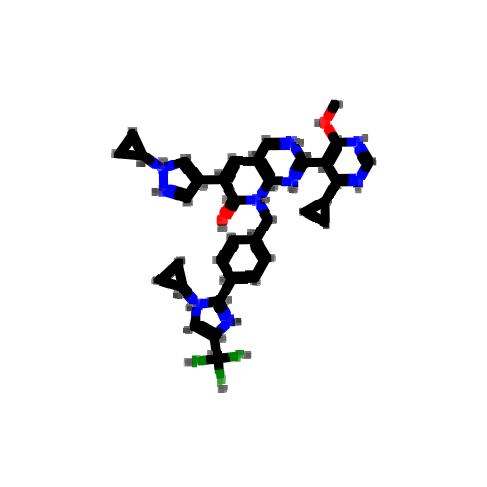 COc1ncnc(C2CC2)c1-c1ncc2cc(-c3cnn(C4CC4)c3)c(=O)n(Cc3ccc(-c4nc(C(F)(F)F)cn4C4CC4)cc3)c2n1